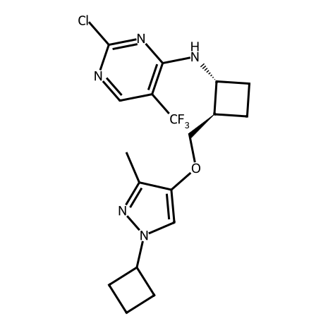 Cc1nn(C2CCC2)cc1OC[C@@H]1CC[C@H]1Nc1nc(Cl)ncc1C(F)(F)F